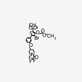 CCOC(=O)COc1c(C(=O)OC)sc(-c2cccc(OCC3CCN(C(=O)C(F)(F)F)CC3)c2)c1Br